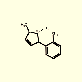 Cc1ccccc1C1C=CN(C)[C@@H]1C